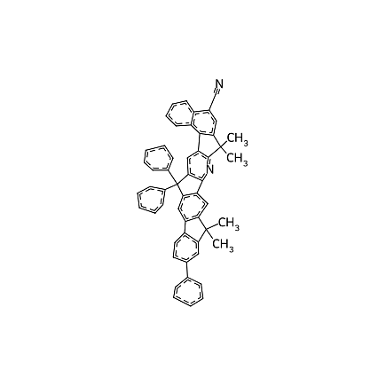 CC1(C)c2cc(-c3ccccc3)ccc2-c2cc3c(cc21)-c1nc2c(cc1C3(c1ccccc1)c1ccccc1)-c1c(cc(C#N)c3ccccc13)C2(C)C